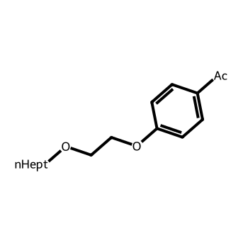 CCCCCCCOCCOc1ccc(C(C)=O)cc1